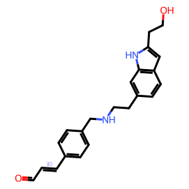 O=C/C=C/c1ccc(CNCCc2ccc3cc(CCO)[nH]c3c2)cc1